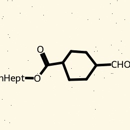 CCCCCCCOC(=O)C1CCC(C=O)CC1